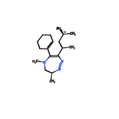 CCC(C)[C@@H](C)CC(C)C1=C(C2=CCCCC2)N(C)CC(C)N=N1